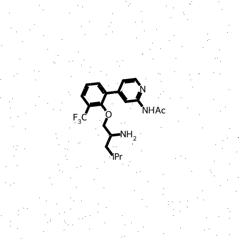 CC(=O)Nc1cc(-c2cccc(C(F)(F)F)c2OCC(N)CC(C)C)ccn1